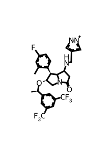 Cc1cc(F)ccc1[C@H]1C2C(NCc3cnn(C)c3)CC(=O)N2C[C@@H]1O[C@H](C)c1cc(C(F)(F)F)cc(C(F)(F)F)c1